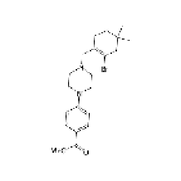 COC(=O)c1ccc(N2CCN(CC3=C(Br)CC(C)(C)CC3)CC2)cc1